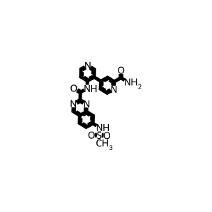 CS(=O)(=O)Nc1ccc2cnc(C(=O)Nc3ccncc3-c3ccnc(C(N)=O)c3)nc2c1